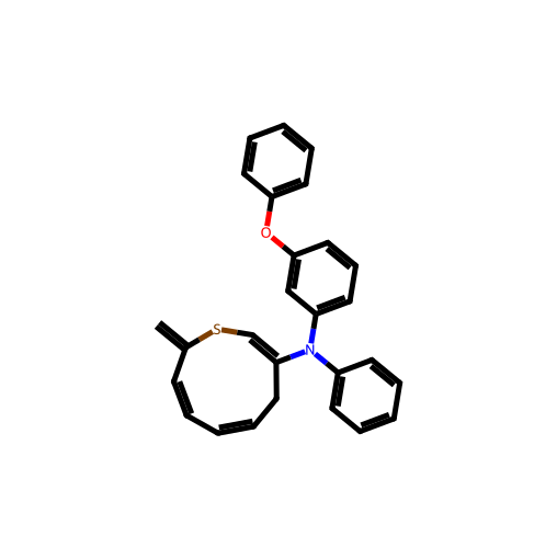 C=C1/C=C\C=C/C/C(N(c2ccccc2)c2cccc(Oc3ccccc3)c2)=C\S1